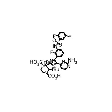 CC(C)(C)C1N(C(=O)O)CCN(C(=O)O)C1(c1nc(-c2cccc(NS(=O)(=O)c3cc(F)ccc3F)c2F)c(-c2ccnc(N)n2)s1)C(C)(C)C